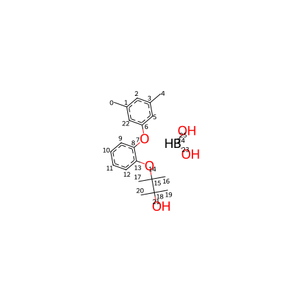 Cc1cc(C)cc(Oc2ccccc2OC(C)(C)C(C)(C)O)c1.OBO